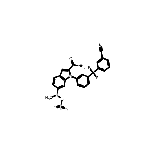 CN(O[SH](=O)=O)c1ccc2cc(C(N)=O)n(-c3cccc(C(F)(F)c4cccc(C#N)c4)c3)c2c1